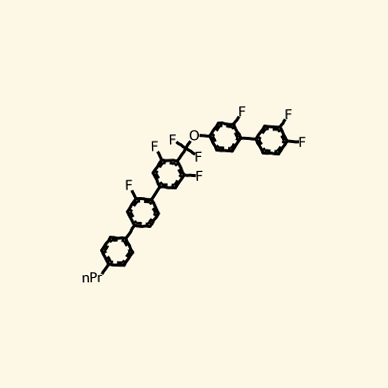 CCCc1ccc(-c2ccc(-c3cc(F)c(C(F)(F)Oc4ccc(-c5ccc(F)c(F)c5)c(F)c4)c(F)c3)c(F)c2)cc1